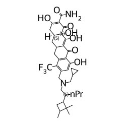 CCC[C@H](CN(Cc1cc(O)c2c(c1C(F)(F)F)CC1C[C@H]3CC(O)=C(C(N)=O)C(=O)[C@@]3(O)C(O)=C1C2=O)CC1CC1)C1CC(C)C1(C)C